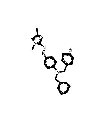 Cc1c[n+](C)c(/N=N/c2ccc(N(Cc3ccccc3)Cc3ccccc3)cc2)s1.[Br-]